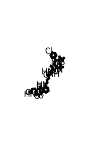 C=C(C(=O)NNC(=O)CCCNc1cccc2c1C(=O)N(C1CCC(=O)NC1=O)C2=O)[C@@H]1N=C(c2ccc(Cl)cc2)c2c(sc(C)c2C)-n2c(C)nnc21